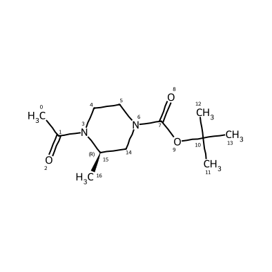 CC(=O)N1CCN(C(=O)OC(C)(C)C)C[C@H]1C